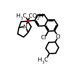 CC1CCC(Oc2ccc3ccc(C(C)N4C5CCC4CC(C(=O)O)C5)cc3c2Cl)CC1